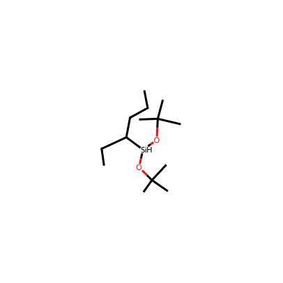 CCCC(CC)[SiH](OC(C)(C)C)OC(C)(C)C